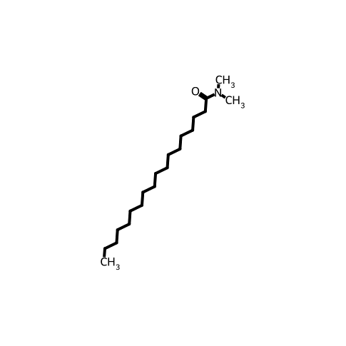 CCCCCCCCCCCCCCCCCC(=O)N(C)C